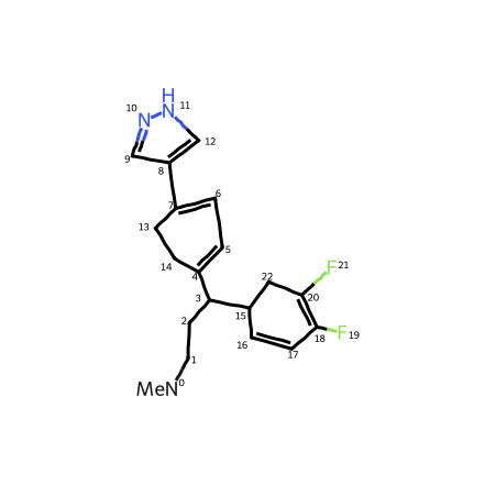 CNCCC(C1=CC=C(c2cn[nH]c2)CC1)C1C=CC(F)=C(F)C1